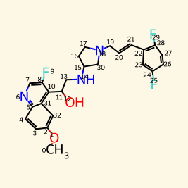 COc1ccc2ncc(F)c(C(O)CNC3CCN(CC=Cc4cc(F)ccc4F)C3)c2c1